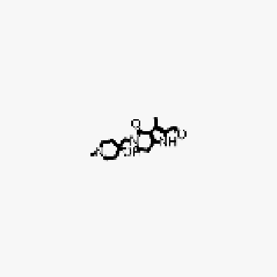 Cc1c(C=O)[nH]c2c1C(=O)N(CC1(O)CCN(C)CC1)CC2